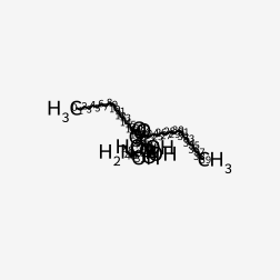 CCCCCCCC/C=C\CCCCCCCC(=O)OC(C(=O)CCCCCCC/C=C\CCCCCCCC)C(O)COP(=O)(O)O.NCCO